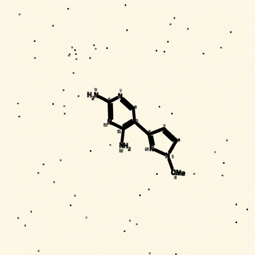 COn1ccc(-c2cnc(N)nc2N)n1